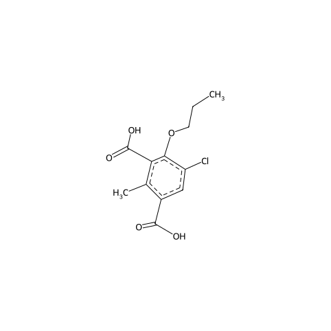 CCCOc1c(Cl)cc(C(=O)O)c(C)c1C(=O)O